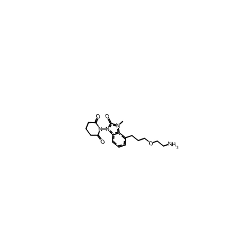 Cn1c(=O)n(N2C(=O)CCCC2=O)c2cccc(CCCOCCN)c21